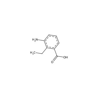 CCc1c(N)cccc1C(=O)O